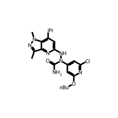 CCCCOc1cc(N(Nc2cc(C(C)C)c3c(n2)c(C)nn3C)C(N)=O)cc(Cl)n1